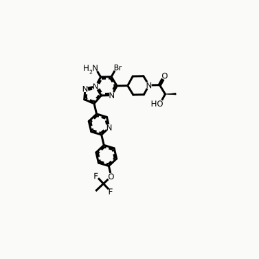 C[C@@H](O)C(=O)N1CCC(c2nc3c(-c4ccc(-c5ccc(OC(C)(F)F)cc5)nc4)cnn3c(N)c2Br)CC1